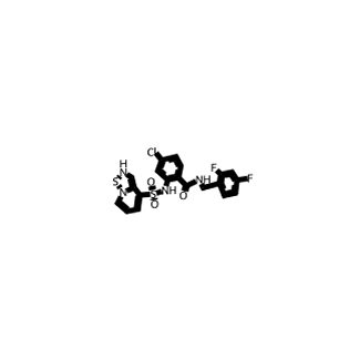 O=C(NCc1ccc(F)cc1F)c1ccc(Cl)cc1NS(=O)(=O)C1=CC=CN2SNC=C12